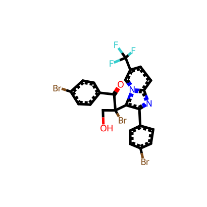 O=C(c1ccc(Br)cc1)C(Br)(CO)c1c(-c2ccc(Br)cc2)nc2ccc(C(F)(F)F)cn12